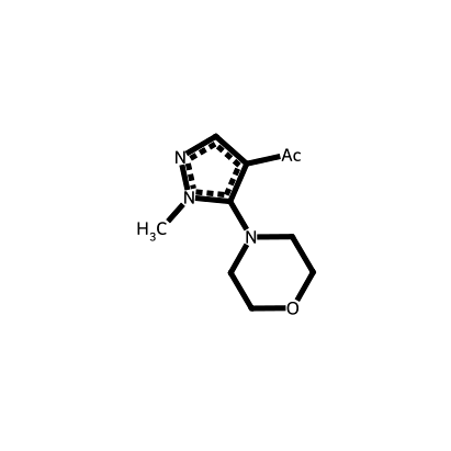 CC(=O)c1cnn(C)c1N1CCOCC1